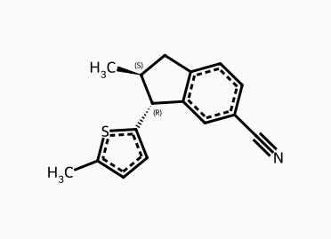 Cc1ccc([C@H]2c3cc(C#N)ccc3C[C@@H]2C)s1